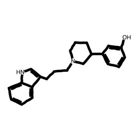 Oc1cccc(C2CCCN(CCCc3c[nH]c4ccccc34)C2)c1